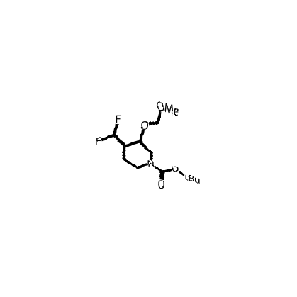 COCOC1CN(C(=O)OC(C)(C)C)CCC1C(F)F